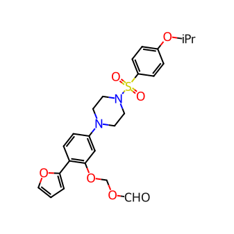 CC(C)Oc1ccc(S(=O)(=O)N2CCN(c3ccc(-c4ccco4)c(OCOC=O)c3)CC2)cc1